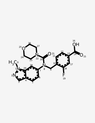 Cn1ncc2ccc(N(Cc3ccc(C(=O)O)cc3F)C(=O)N3CCOCC3)cc21